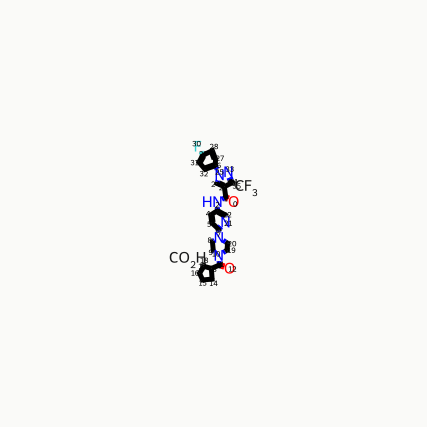 O=C(Nc1ccc(N2CCN(C(=O)C3CCCC3C(=O)O)CC2)nc1)c1cn(-c2ccc(F)cc2)nc1C(F)(F)F